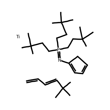 C=CC=CC(C)(C)C.CC(C)(C)CCP(CCC(C)(C)C)(CCC(C)(C)C)=NC1=CC=CC1.[Ti]